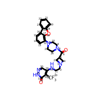 C[C@@H](CN1CC(C(=O)N2CCN(c3cccc4c3oc3ccccc34)CC2)C1)Nc1cn[nH]c(=O)c1C(F)(F)F